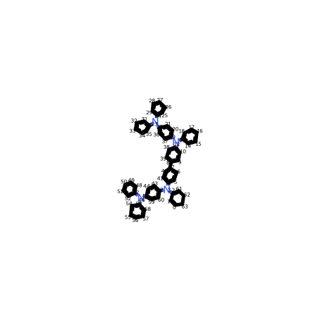 C1=CC(N(c2ccc(-c3ccc(N(c4ccccc4)c4ccc(N(c5ccccc5)c5ccccc5)cc4)cc3)cc2)c2ccc(N(c3ccccc3)c3ccccc3)cc2)=CCC1